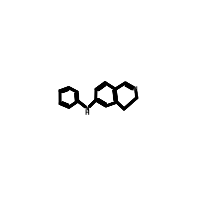 C1=NCCc2cc(Nc3ccccc3)ccc21